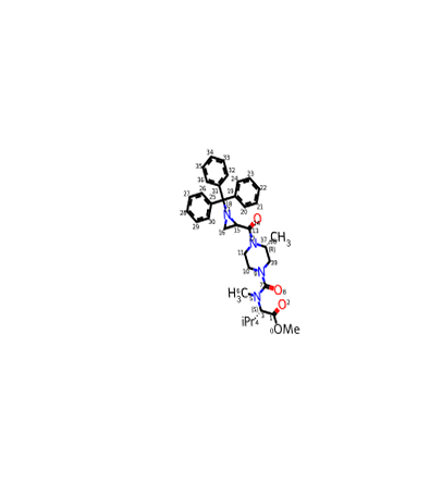 COC(=O)[C@H](C(C)C)N(C)C(=O)N1CCN(C(=O)C2CN2C(c2ccccc2)(c2ccccc2)c2ccccc2)[C@H](C)C1